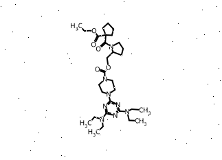 CCOC(=O)C1(C(=O)N2CCCC2COC(=O)N2CCN(c3nc(N(CC)CC)nc(N(CC)CC)n3)CC2)CCCC1